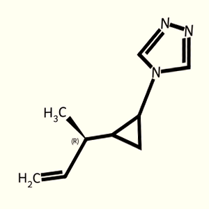 C=C[C@@H](C)C1CC1n1cnnc1